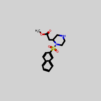 COC(=O)CC1CNCCN1S(=O)(=O)c1ccc2ccccc2c1